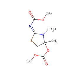 CC(C)(C)OC(=O)N=C1SCC(C)(OC(=O)OC(C)(C)C)N1C(=O)O